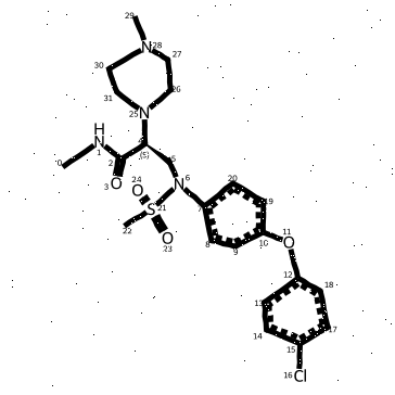 CNC(=O)[C@H](CN(c1ccc(Oc2ccc(Cl)cc2)cc1)S(C)(=O)=O)N1CCN(C)CC1